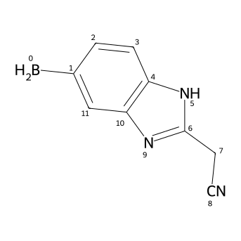 Bc1ccc2[nH]c(CC#N)nc2c1